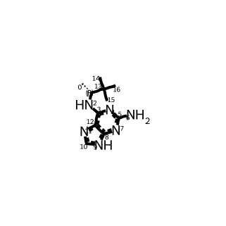 C[C@@H](Nc1nc(N)nc2[nH]cnc12)C(C)(C)C